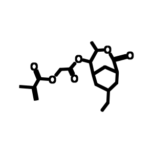 C=C(C)C(=O)OCC(=O)OC1C2CC(CC)CC(C2)C(=O)OC1C